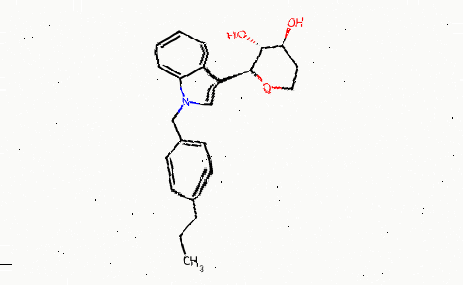 CCCc1ccc(Cn2cc([C@@H]3OCC[C@H](O)[C@H]3O)c3ccccc32)cc1